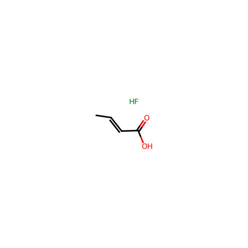 CC=CC(=O)O.F